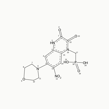 O=c1[nH]c2cc(N3CCOCC3)c([N+](=O)[O-])cc2n(CP(=O)(O)O)c1=O